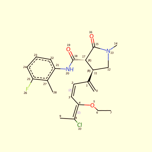 C=C(/C=C\C(OCC)=C(/C)Cl)[C@@H]1CN(C)C(=O)[C@H]1C(=O)Nc1cccc(F)c1C